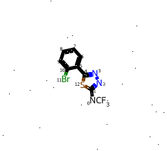 FC(F)(F)Nc1nnc(-c2ccccc2Br)s1